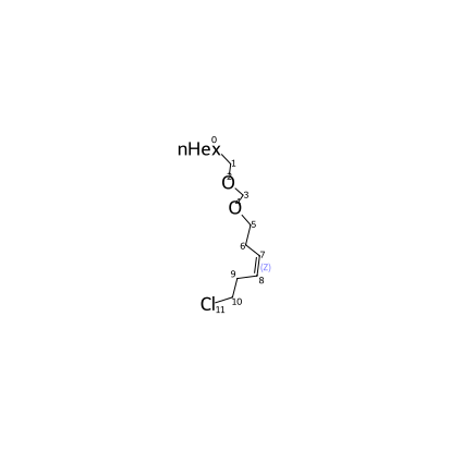 CCCCCCCOCOCC/C=C\CCCl